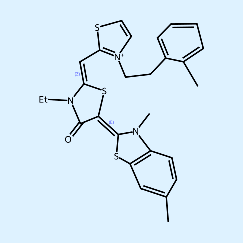 CCn1c(=O)/c(=C2\Sc3cc(C)ccc3N2C)s/c1=C\c1scc[n+]1CCc1ccccc1C